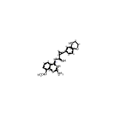 COc1cccc2/c(=N/C(=N)C3CC3c3ccc4c(c3)NCCO4)[nH]c(N)nc12